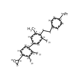 CCCc1ccc(CCc2c(C)cc(-c3ccc(C4CO4)c(F)c3F)cc2F)cc1